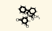 CC12CCCC(c3ccccc3)(C1)C(=O)N(c1cc(Cl)cc(Cl)c1)C2=O